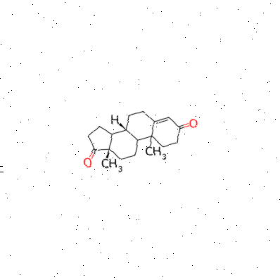 CC12CCC(=O)C=C1CC[C@@H]1C2CC[C@]2(C)C(=O)CCC12